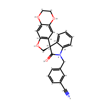 N#Cc1cccc(CN2C(=O)[C@@]3(COc4cc5c(cc43)OCCO5)c3ccccc32)c1